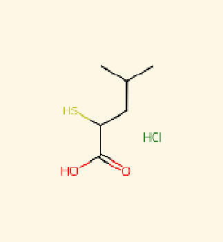 CC(C)CC(S)C(=O)O.Cl